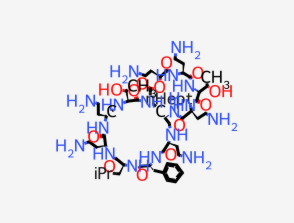 CCCCCCCC(=O)O[C@@H](CCN)C(=O)N[C@@H](CCN)C(=O)N[C@H](C(=O)N[C@@H](CCN)C(=O)N[C@H]1CCNC(=O)[C@H](C(C)O)NC[C@H](CCN)NC(=O)[C@H](CCN)NC(=O)[C@H](CC(C)C)NC(=O)[C@@H](Cc2ccccc2)NC(=O)[C@H](CCN)NC1)C(C)O